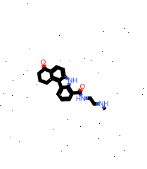 CNCCNC(=O)c1cccc2c1[nH]c1ccc3c(c12)CCCC3=O